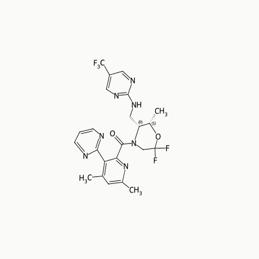 Cc1cc(C)c(-c2ncccn2)c(C(=O)N2CC(F)(F)O[C@@H](C)[C@H]2CNc2ncc(C(F)(F)F)cn2)n1